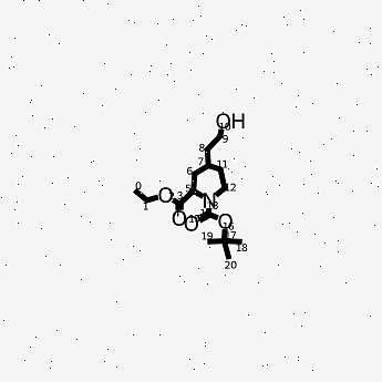 CCOC(=O)C1CC(CCO)CCN1C(=O)OC(C)(C)C